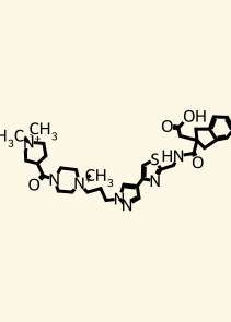 C[N+]1(C)CCC(C(=O)N2CC[N+](C)(CCCn3cc(-c4csc(CNC(=O)C5(CC(=O)O)Cc6ccccc6C5)n4)cn3)CC2)CC1